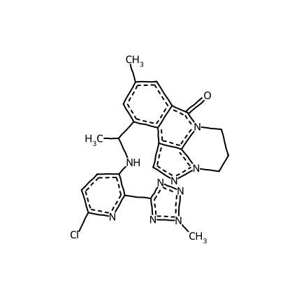 Cc1cc(C(C)Nc2ccc(Cl)nc2-c2nnn(C)n2)c2c(c1)c(=O)n1c3c2cnn3CCC1